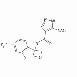 CNc1[nH]ncc1C(=O)NC1(c2ccc(C(F)(F)F)cc2F)COC1